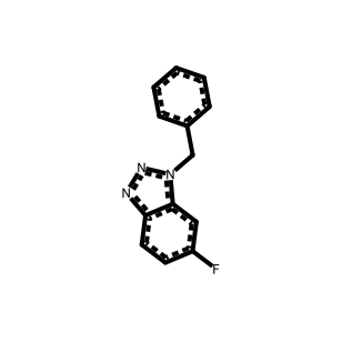 Fc1ccc2nnn(Cc3ccccc3)c2c1